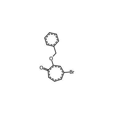 O=c1cccc(Br)cc1OCc1ccccc1